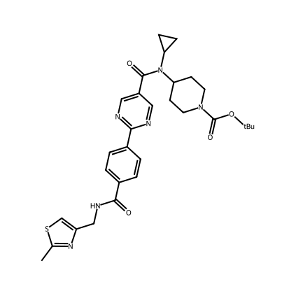 Cc1nc(CNC(=O)c2ccc(-c3ncc(C(=O)N(C4CC4)C4CCN(C(=O)OC(C)(C)C)CC4)cn3)cc2)cs1